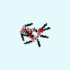 CCCCCC[Si](C)(C)O[Si](CC[Si](C)(C)O[Si](C)(O[Si](C)(C)CC[Si](O[Si](C)(C)CCCCCC)(O[Si](C)(C)CCCCCC)O[Si](C)(C)CCCCCC)O[Si](C)(C)CC[Si](O[Si](C)(C)CCCCCC)(O[Si](C)(C)CCCCCC)O[Si](C)(C)CCCCCC)(O[Si](C)(C)CCCCCC)O[Si](C)(C)CCCCCC